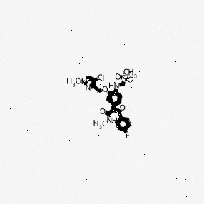 CNC(=O)c1c(-c2ccc(F)cc2)oc2cc(NCS(C)(=O)=O)c(OCc3nn(C)cc3Cl)cc12